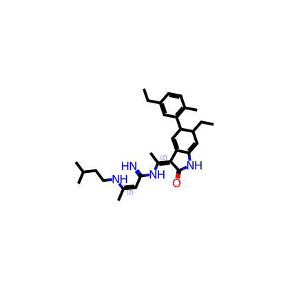 CCc1ccc(C)c(C2C=C3C(=CC2CC)NC(=O)/C3=C(/C)NC(=N)/C=C(/C)NCCC(C)C)c1